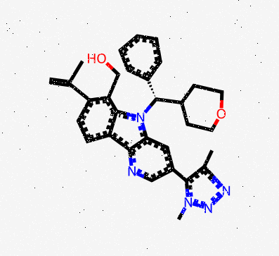 C=C(C)c1ccc2c3ncc(-c4c(C)nnn4C)cc3n([C@H](c3ccccc3)C3CCOCC3)c2c1CO